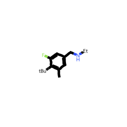 CCNCc1cc(C)c(C(C)(C)C)c(F)c1